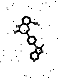 Cc1nc2cnccc2n1-c1ccc(C2=Nc3c(N)cccc3NC(=O)C2)cc1